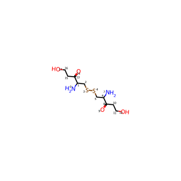 NC(CSSCC(N)C(=O)CCO)C(=O)CCO